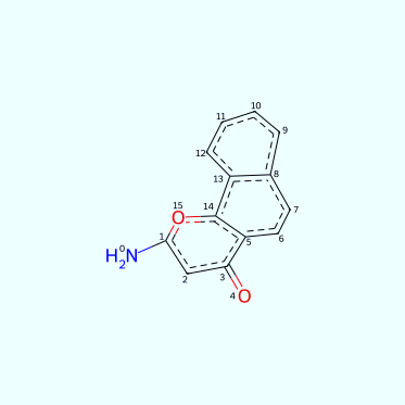 Nc1cc(=O)c2ccc3ccccc3c2o1